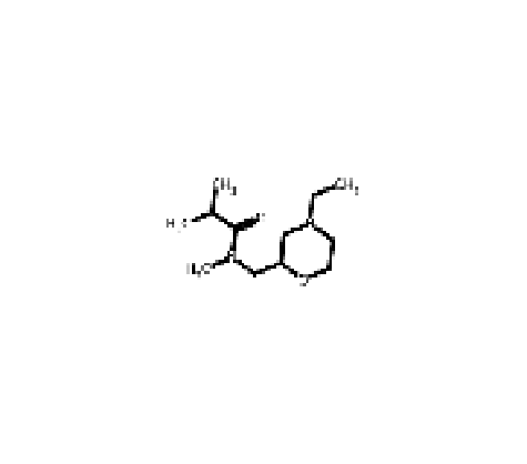 CCN1CCOC(CN(C)C(=O)C(C)C)C1